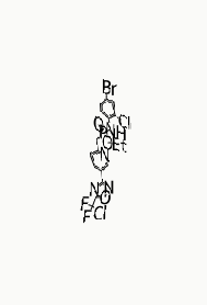 CCOP(=O)(Cc1ccc(-c2noc(C(F)(F)Cl)n2)cn1)Nc1ccc(Br)cc1Cl